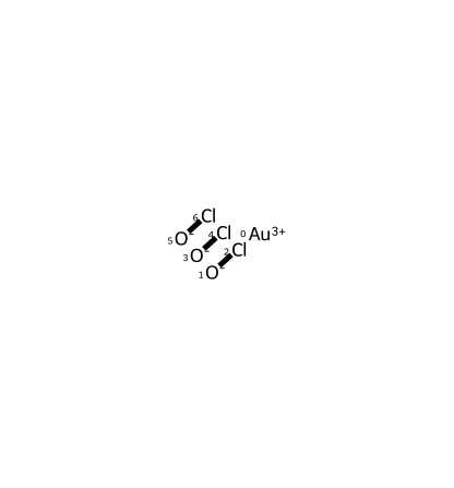 [Au+3].[O-]Cl.[O-]Cl.[O-]Cl